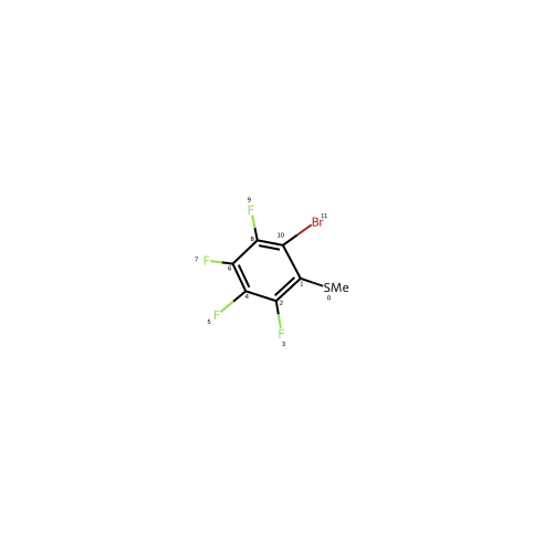 CSc1c(F)c(F)c(F)c(F)c1Br